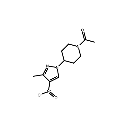 CC(=O)N1CCC(n2cc([N+](=O)[O-])c(C)n2)CC1